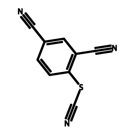 N#CSc1ccc(C#N)cc1C#N